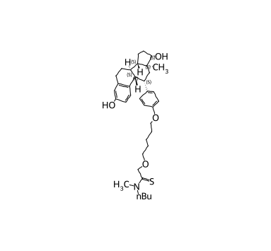 CCCCN(C)C(=S)COCCCCCOc1ccc([C@H]2C[C@]3(C)[C@@H](O)CC[C@H]3[C@@H]3CCc4cc(O)ccc4[C@H]32)cc1